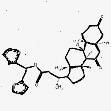 C[C@H](CC(=O)NC(c1cccs1)c1cccs1)C1CC[C@H]2[C@@H]3C(=O)C[C@@H]4CC(=O)CC[C@]4(C)[C@H]3CC[C@]12C